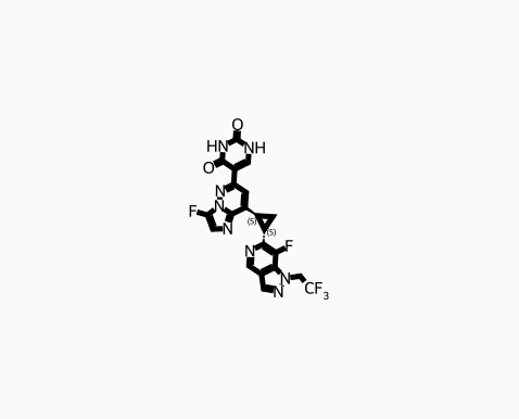 O=c1[nH]cc(-c2cc([C@H]3C[C@@H]3c3ncc4cnn(CC(F)(F)F)c4c3F)c3ncc(F)n3n2)c(=O)[nH]1